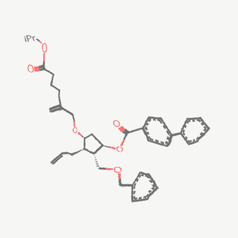 C=CC[C@@H]1[C@@H](COCc2ccccc2)[C@H](OC(=O)c2ccc(-c3ccccc3)cc2)C[C@@H]1OCC(=C)CCCC(=O)OC(C)C